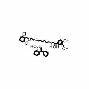 O=C(O)C=C(c1ccccc1)c1ccccc1.OCc1cc([C@@H](O)CNCCCCCCOCCOCc2c(Cl)cccc2Cl)ccc1O